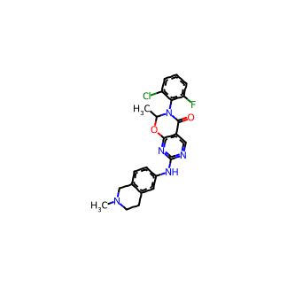 CC1Oc2nc(Nc3ccc4c(c3)CCN(C)C4)ncc2C(=O)N1c1c(F)cccc1Cl